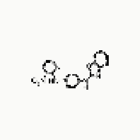 O=[N+]([O-])c1cccnc1Nc1ccc(Nc2nc3ccccc3o2)cc1